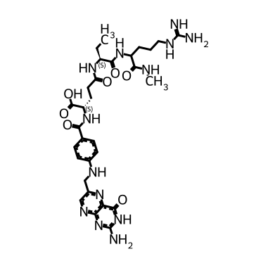 CC[C@H](NC(=O)CC[C@H](NC(=O)c1ccc(NCc2cnc3nc(N)[nH]c(=O)c3n2)cc1)C(=O)O)C(=O)NC(CCCNC(=N)N)C(=O)NC